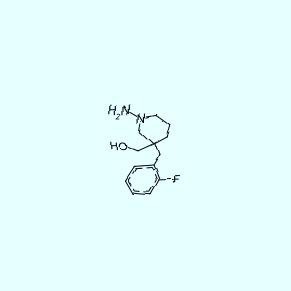 NN1CCCC(CO)(Cc2ccccc2F)C1